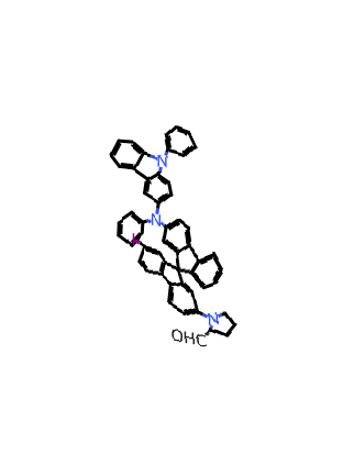 O=C[C@@H]1CCCN1c1ccc2c(c1)C1(c3ccccc3-c3ccc(N(c4ccccc4)c4ccc5c(c4)c4ccccc4n5-c4ccccc4)cc31)c1cc(I)ccc1-2